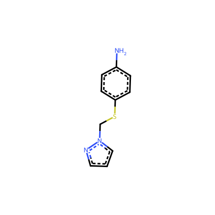 Nc1ccc(SCn2cccn2)cc1